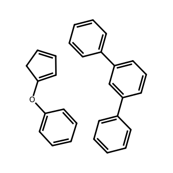 C1=CCC(Oc2ccccc2)=C1.c1ccc(-c2cccc(-c3ccccc3)c2)cc1